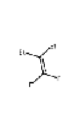 CCC(CC)=C(F)F